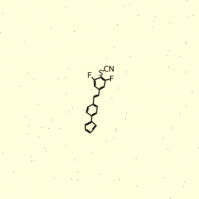 N#CSc1c(F)cc(C=Cc2ccc(-c3ccccc3)cc2)cc1F